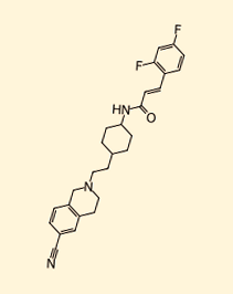 N#Cc1ccc2c(c1)CCN(CCC1CCC(NC(=O)C=Cc3ccc(F)cc3F)CC1)C2